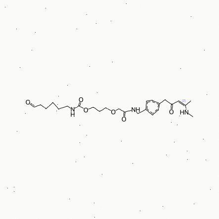 CN/C(C)=C\C(=O)Cc1ccc(CNC(=O)COCCCOC(=O)NCCCCCC=O)cc1